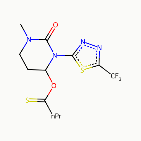 CCCC(=S)OC1CCN(C)C(=O)N1c1nnc(C(F)(F)F)s1